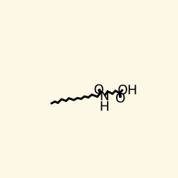 CCCCCCCCCCCCCC(=O)NCCCC(=O)O